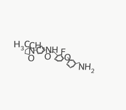 CC1(C)CCC(=O)N1c1ccc(NC(=O)Cc2cccc(Oc3cccc(CN)c3)c2F)cc1